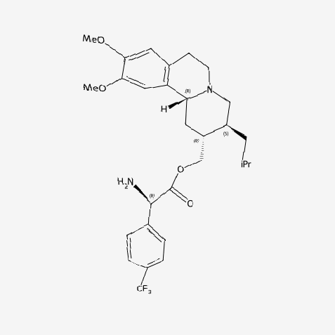 COc1cc2c(cc1OC)[C@H]1C[C@@H](COC(=O)[C@H](N)c3ccc(C(F)(F)F)cc3)[C@H](CC(C)C)CN1CC2